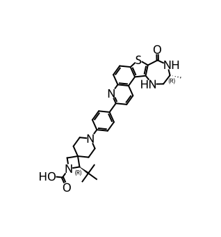 C[C@@H]1CNc2c(sc3ccc4nc(-c5ccc(N6CCC7(CC6)CN(C(=O)O)[C@@H]7C(C)(C)C)cc5)ccc4c23)C(=O)N1